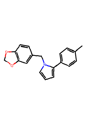 Cc1ccc(-c2c[c]cn2Cc2ccc3c(c2)OCO3)cc1